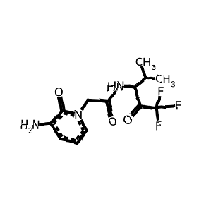 CC(C)C(NC(=O)Cn1cccc(N)c1=O)C(=O)C(F)(F)F